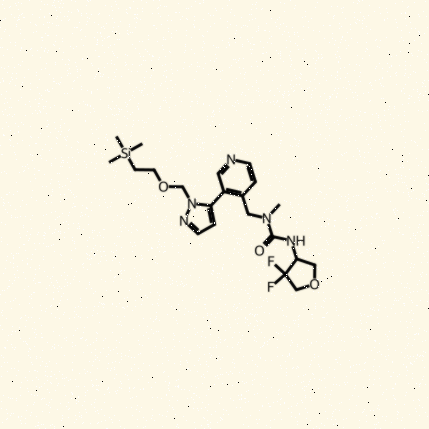 CN(Cc1ccncc1-c1ccnn1COCC[Si](C)(C)C)C(=O)NC1COCC1(F)F